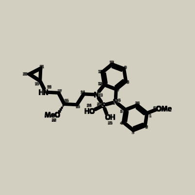 COc1cccc(N2c3ccccc3N(CC[C@@H](CNC3CC3)OC)S2(O)O)c1